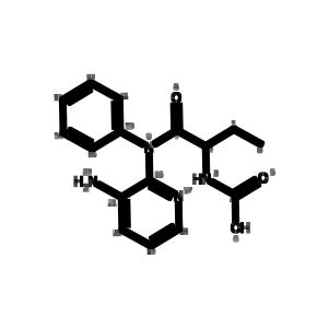 CCC(NC(=O)O)C(=O)N(c1ccccc1)c1ncccc1N